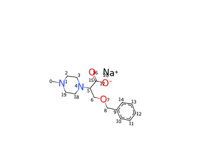 CN1CCN(C(COCc2ccccc2)C(=O)[O-])CC1.[Na+]